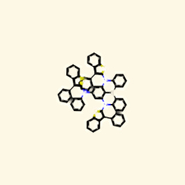 c1ccc(-c2c(N(c3ccccc3)c3cc4c5c(c3)N(c3sc6ccccc6c3-c3ccccc3)c3ccccc3B5c3ccccc3N4c3sc4ccccc4c3-c3ccccc3)sc3ccccc23)cc1